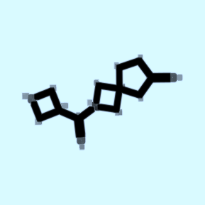 O=C1CCC2(C1)CN(C(=O)C1COC1)C2